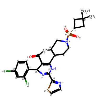 COC(=O)C1=C(C2CCN(S(=O)(=O)[C@H]3C[C@](C)(C(=O)O)C3)CC2)NC(c2nccs2)=NC1c1ccc(F)cc1Cl